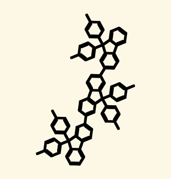 Cc1ccc(C2(c3ccc(C)cc3)c3ccccc3-c3ccc(-c4ccc5c(c4)C(c4ccc(C)cc4)(c4ccc(C)cc4)c4cc(-c6ccc7c(c6)C(c6ccc(C)cc6)(c6ccc(C)cc6)c6ccccc6-7)ccc4-5)cc32)cc1